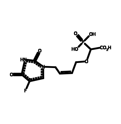 O=C(O)C(OC/C=C\Cn1cc(F)c(=O)[nH]c1=O)P(=O)(O)O